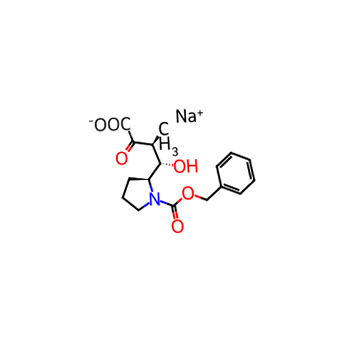 C[C@H](C(=O)C(=O)[O-])[C@H](O)[C@@H]1CCCN1C(=O)OCc1ccccc1.[Na+]